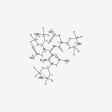 C=C(/N=C(\N=C(/N)N(CC(=O)O)C1CC(C)(C)NC(C)(C)C1)N(CC(=O)O)C1CC(C)(C)NC(C)(C)C1)N(CC(=O)O)C1CC(C)(C)NC(C)(C)C1